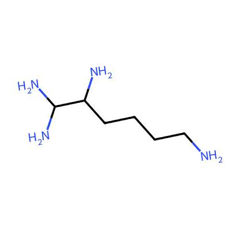 NCCCCC(N)C(N)N